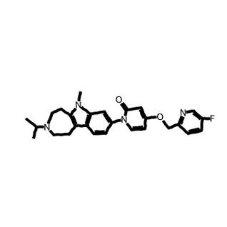 CC(C)N1CCc2c(n(C)c3cc(-n4ccc(OCc5ccc(F)cn5)cc4=O)ccc23)CC1